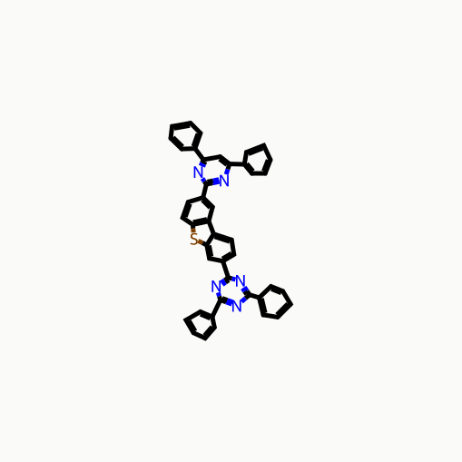 c1ccc(-c2cc(-c3ccccc3)nc(-c3ccc4sc5cc(-c6nc(-c7ccccc7)nc(-c7ccccc7)n6)ccc5c4c3)n2)cc1